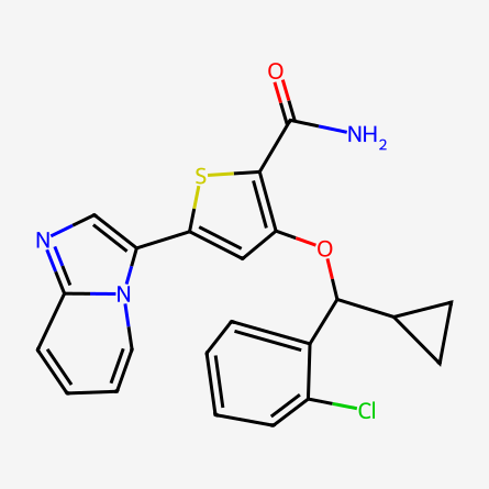 NC(=O)c1sc(-c2cnc3ccccn23)cc1OC(c1ccccc1Cl)C1CC1